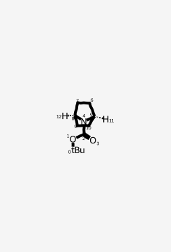 CC(C)(C)OC(=O)N1[C@H]2CC[C@@H]1CC2